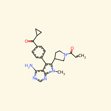 C=CC(=O)N1CCC(c2c(-c3ccc(C(=O)C4CC4)cc3)c3c(N)ncnc3n2C)C1